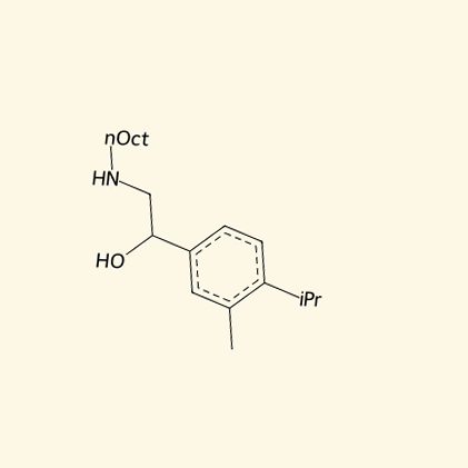 CCCCCCCCNCC(O)c1ccc(C(C)C)c(C)c1